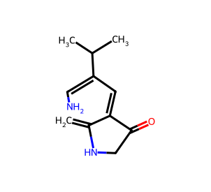 C=C1NCC(=O)/C1=C/C(=C\N)C(C)C